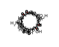 CCCC[C@H]1C(=O)N(C)CC(=O)N[C@@H](CC(=O)O)C(=O)N[C@@H](C(C)C)C(=O)N(C)[C@@H](Cc2ccccc2)C(=O)N[C@@H](Cc2ccc(O)cc2)C(=O)N(C)CC(=O)N[C@@H](Cc2c[nH]c3ccccc23)C(=O)N[C@@H](Cc2c[nH]c3ccccc23)C(=O)N[C@@H](CC(C)C)C(=O)N[C@H](C(=O)NCC(N)=O)CSCC(=O)N[C@@H](Cc2ccccc2)C(=O)N(C)[C@@H](Cc2ccccc2)C(=O)N1C